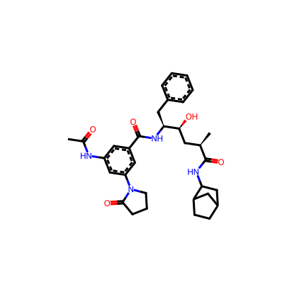 CC(=O)Nc1cc(C(=O)N[C@@H](Cc2ccccc2)[C@@H](O)C[C@@H](C)C(=O)NC2CC3CCC2C3)cc(N2CCCC2=O)c1